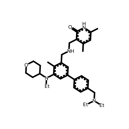 CCN(CC)Cc1ccc(-c2cc(CNCc3c(C)cc(C)[nH]c3=O)c(C)c(N(CC)C3CCOCC3)c2)cc1